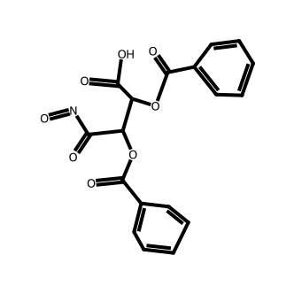 O=NC(=O)C(OC(=O)c1ccccc1)C(OC(=O)c1ccccc1)C(=O)O